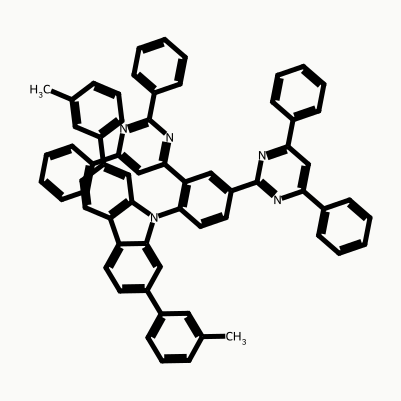 Cc1cccc(-c2ccc3c4ccc(-c5cccc(C)c5)cc4n(-c4ccc(-c5nc(-c6ccccc6)cc(-c6ccccc6)n5)cc4-c4cc(-c5ccccc5)nc(-c5ccccc5)n4)c3c2)c1